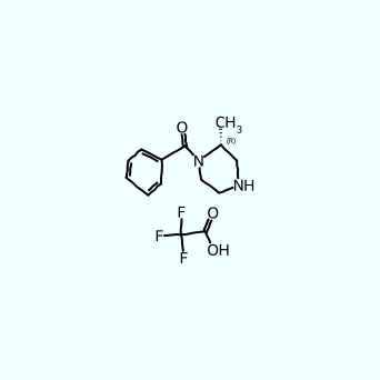 C[C@@H]1CNCCN1C(=O)c1ccccc1.O=C(O)C(F)(F)F